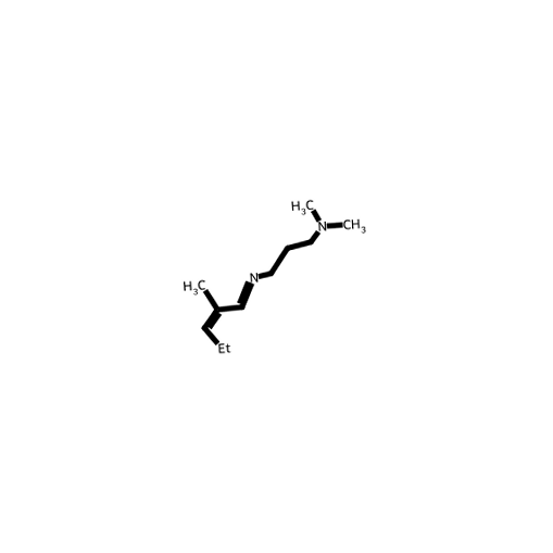 CCC=C(C)C=NCCCN(C)C